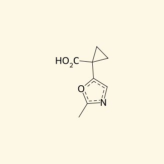 Cc1ncc(C2(C(=O)O)CC2)o1